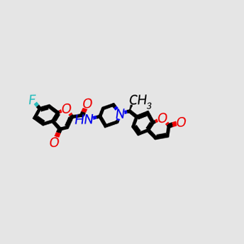 C[C@@H](c1ccc2ccc(=O)oc2c1)N1CCC(NC(=O)c2cc(=O)c3ccc(F)cc3o2)CC1